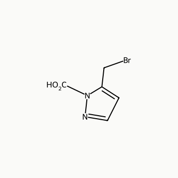 O=C(O)n1nccc1CBr